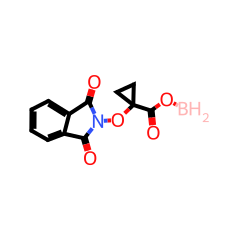 BOC(=O)C1(ON2C(=O)c3ccccc3C2=O)CC1